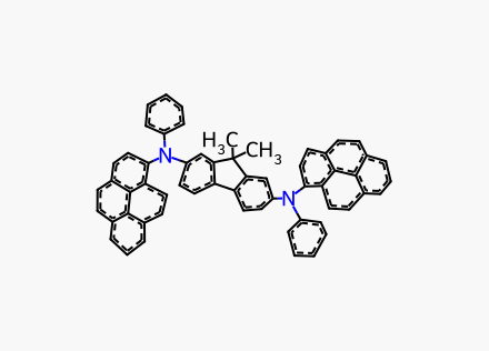 CC1(C)c2cc(N(c3ccccc3)c3ccc4ccc5cccc6ccc3c4c56)ccc2-c2ccc(N(c3ccccc3)c3ccc4ccc5cccc6ccc3c4c56)cc21